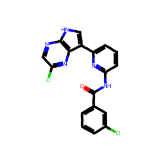 O=C(Nc1cccc(-c2c[nH]c3ncc(Cl)nc23)n1)c1cccc(Cl)c1